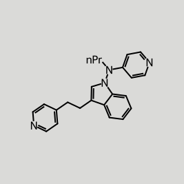 CCCN(c1ccncc1)n1cc(CCc2ccncc2)c2ccccc21